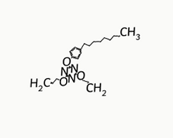 C=CCOc1nc(OCC=C)nc(Oc2ccc(CCCCCCCCC)cc2)n1